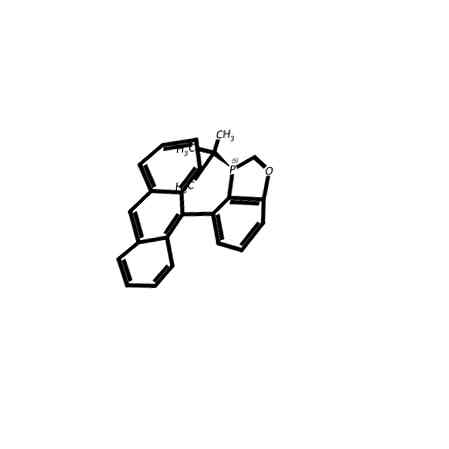 CC(C)(C)[P@@]1COc2cccc(-c3c4ccccc4cc4ccccc34)c21